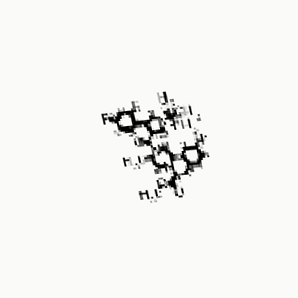 COC(=O)[C@H](Cc1ccc(Br)cc1)N1CCN(C(=O)[C@@H]2CN(C(C)(C)C)CC2c2ccc(F)cc2F)[C@@H](C)C1